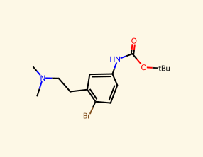 CN(C)CCc1cc(NC(=O)OC(C)(C)C)ccc1Br